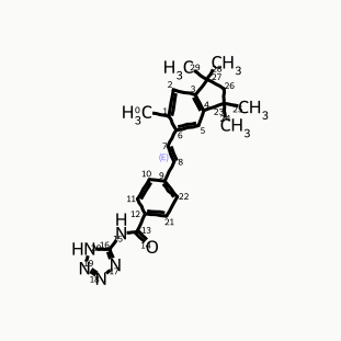 Cc1cc2c(cc1/C=C/c1ccc(C(=O)Nc3nnn[nH]3)cc1)C(C)(C)CC2(C)C